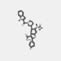 CNC(=O)c1c(-c2ccc(F)cc2)oc2cc(N(C)S(C)(=O)=O)c(C3CCCN(C(=O)c4cc5ccccc5n4C)C3)cc12